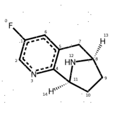 Fc1cnc2c(c1)C[C@H]1CC[C@@H]2N1